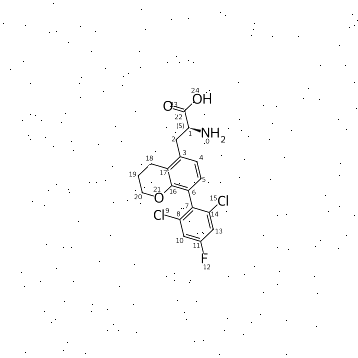 N[C@@H](Cc1ccc(-c2c(Cl)cc(F)cc2Cl)c2c1CCCO2)C(=O)O